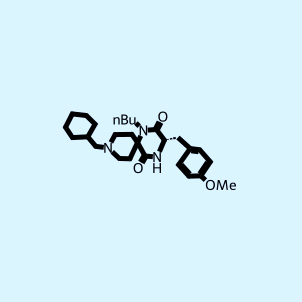 CCCCN1C(=O)[C@H](Cc2ccc(OC)cc2)NC(=O)C12CCN(CC1CCCCC1)CC2